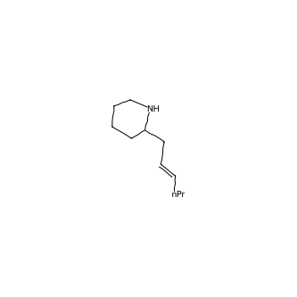 CCCC=CCC1CCCCN1